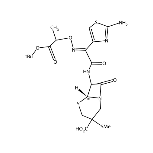 CSC1(C(=O)O)CS[C@@H]2C(NC(=O)C(=NOC(C)C(=O)OC(C)(C)C)c3csc(N)n3)C(=O)N2C1